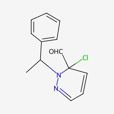 CC(c1ccccc1)N1N=CC=CC1(Cl)C=O